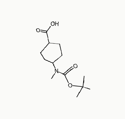 CN(C(=O)OC(C)(C)C)C1CCC(C(=O)O)CC1